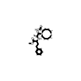 COC(=O)C(CCc1ccccc1)N[C@@H](C)C(=O)N1CCCCSCCC[C@H]1C(=O)O